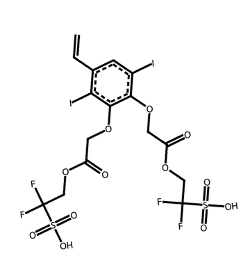 C=Cc1cc(I)c(OCC(=O)OCC(F)(F)S(=O)(=O)O)c(OCC(=O)OCC(F)(F)S(=O)(=O)O)c1I